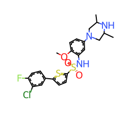 COc1ccc(N2CC(C)NC(C)C2)cc1NS(=O)(=O)c1ccc(-c2ccc(F)c(Cl)c2)s1